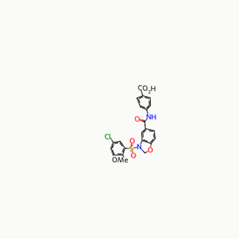 COc1ccc(Cl)cc1S(=O)(=O)N1COc2ccc(C(=O)Nc3ccc(C(=O)O)cc3)cc21